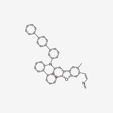 C=N/C=C\c1cc2oc3ccc(N(c4cccc(-c5ccc(-c6ccccc6)cc5)c4)c4ccccc4-c4ccccc4)cc3c2cc1C